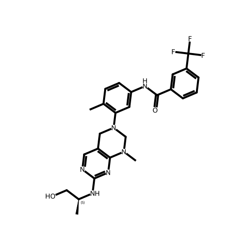 Cc1ccc(NC(=O)c2cccc(C(F)(F)F)c2)cc1N1Cc2cnc(N[C@@H](C)CO)nc2N(C)C1